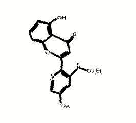 CCOC(=O)Nc1cc(O)cnc1-c1cc(=O)c2c(O)cccc2o1